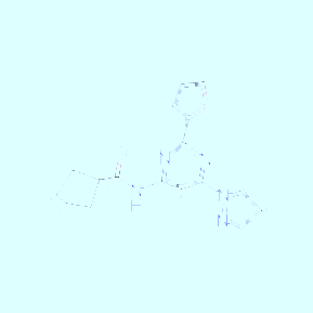 O=C(Nc1cc(-n2cccn2)nc(-c2ccco2)n1)C1CCCC1